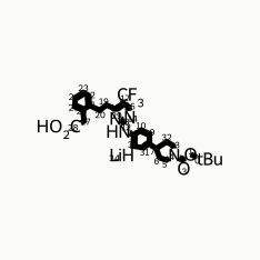 CC(C)(C)OC(=O)N1CCC(c2ccc(Nc3ncc(C(F)(F)F)c(CCc4ccccc4CC(=O)O)n3)cc2)CC1.[LiH]